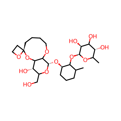 CC1CCC[C@@H](O[C@@H]2OC(CO)[C@H](O)C3O[C@@]4(CCCCOC32)CCO4)C1O[C@@H]1OC(C)[C@@H](O)C(O)[C@@H]1O